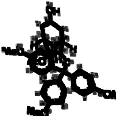 COc1ccc(C(O[C@H]2[C@@H](OC(C)=O)[C@@H]3CC(O)C[C@H]2N3C)(c2ccc(OC)cc2)c2ccc(OC)cc2)cc1